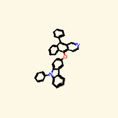 c1ccc(-c2c3ccccc3c(Oc3ccc4c(c3)c3ccccc3n4-c3ccccc3)c3ccncc23)cc1